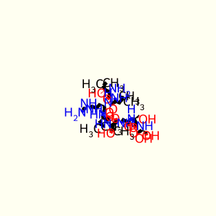 CC(C)C[C@H](NC(=O)[C@@H](N)[C@H](O)C(C)C)C(=O)N[C@H](CCCNC(=N)N)C(=O)N[C@@H](CC(C)C)C(=O)N[C@H](C(=O)NCC(=O)N[C@@H](CO)C(=O)N[C@@H](CO)C(=O)O)[C@H](C)O